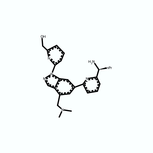 CCC[C@H](N)c1cccc(-c2cc(CN(C)C)c3cnn(-c4cccc(CO)n4)c3c2)n1